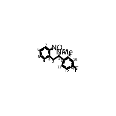 CNC(Cc1ccccc1[N+](=O)[O-])c1ccc(F)cc1